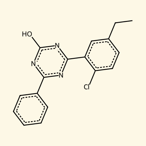 CCc1ccc(Cl)c(-c2nc(O)nc(-c3ccccc3)n2)c1